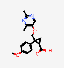 COc1ccc(C2(COc3cnc(C)nc3C)CC2C(=O)O)cc1